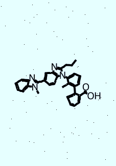 CCCc1nc2cc(-c3nc4ccccc4n3C)ccc2n1-c1cccc(-c2ccccc2C(=O)O)c1C